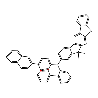 CC1(C)c2cc(N(c3ccc(-c4ccc5ccccc5c4)cc3)c3ccccc3-c3ccccc3)ccc2-c2cc3c(cc21)sc1ccccc13